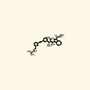 CC(C)(C)NC(=O)c1c2cccccc-2c2c(NC(C)(C)C)c(C(=O)c3cccc(C#Cc4cccc(/C=N/NC(=N)N)c4)c3)c(=N)oc12